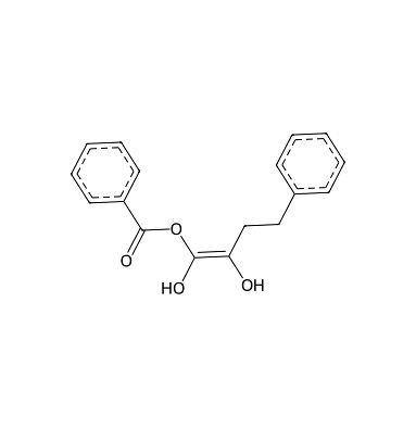 O=C(OC(O)=C(O)CCc1ccccc1)c1ccccc1